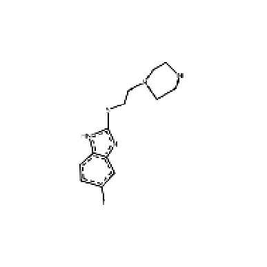 Fc1ccc2[nH]c(SCCN3CCNCC3)nc2c1